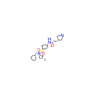 O=C(/C=C/c1ccncc1)Nc1ccc(S(=O)(=O)N(Cc2ccccc2)C(F)(F)F)cc1